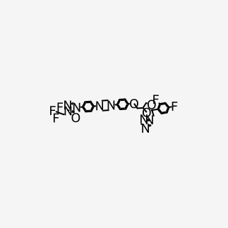 O=c1n(-c2ccc(N3CCN(c4ccc(OCC5COC(Cn6cncn6)(c6ccc(F)cc6F)O5)cc4)CC3)cc2)cnn1CC(F)(F)F